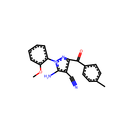 COc1ccccc1-n1nc(C(=O)c2ccc(C)cc2)c(C#N)c1N